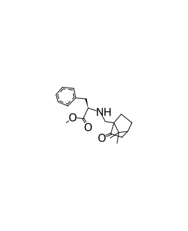 COC(=O)[C@@H](Cc1ccccc1)NCC12CCC(CC1=O)C2(C)C